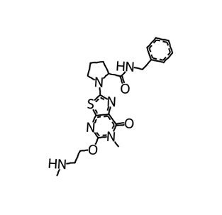 CNCCOc1nc2sc(N3CCCC3C(=O)NCc3ccccc3)nc2c(=O)n1C